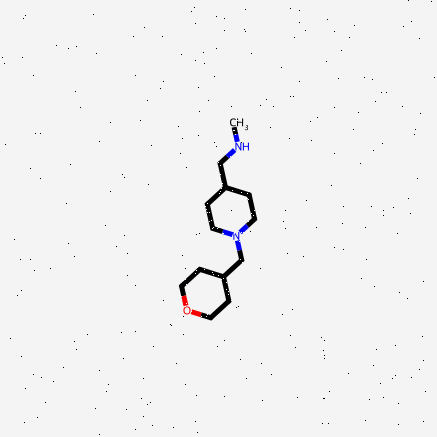 CNCC1CCN(CC2CCOCC2)CC1